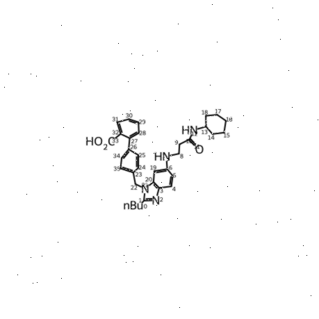 CCCCc1nc2ccc(NCCC(=O)NC3CCCCC3)cc2n1Cc1ccc(-c2ccccc2C(=O)O)cc1